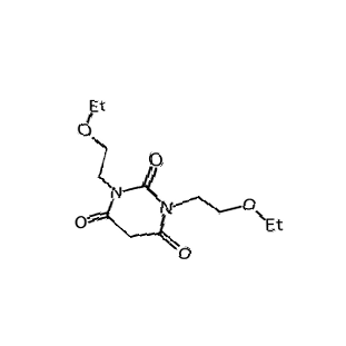 CCOCCN1C(=O)CC(=O)N(CCOCC)C1=O